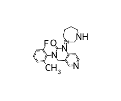 Cc1cccc(F)c1N1Cc2cnccc2N([C@H]2CCCCNC2)C1=O